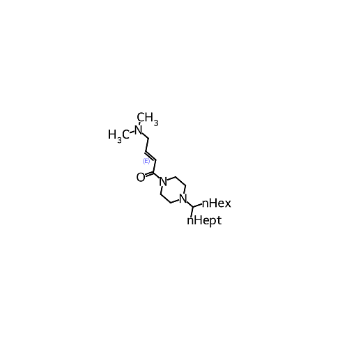 CCCCCCCC(CCCCCC)N1CCN(C(=O)/C=C/CN(C)C)CC1